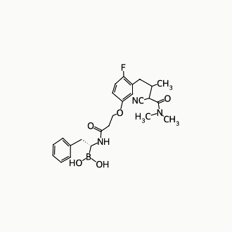 CC(Cc1cc(OCCC(=O)N[C@@H](Cc2ccccc2)B(O)O)ccc1F)C(C#N)C(=O)N(C)C